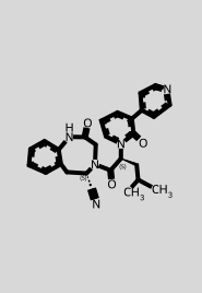 CC(C)C[C@@H](C(=O)N1CC(=O)Nc2ccccc2C[C@H]1C#N)n1cccc(-c2ccncc2)c1=O